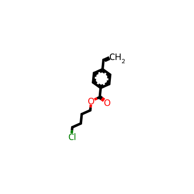 C=Cc1ccc(C(=O)OCCCCCl)cc1